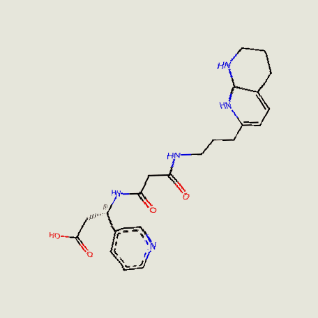 O=C(O)C[C@H](NC(=O)CC(=O)NCCCC1=CC=C2CCCNC2N1)c1cccnc1